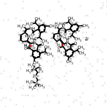 CC(NC(=O)c1c(C(C)C)cc(C)cc1C(C)C)=C1C=CCC(=C(C)NC(=O)c2c(C(C)C)cc(C)cc2C(C)C)N1.CC(NC(=O)c1c(C(C)C)cc(C)cc1C(C)C)=C1C=CCC(=C(C)NC(=O)c2c(C(C)C)cc(C)cc2C(C)C)N1.C[Si](C)(C)[CH2][Zr][CH2][Si](C)(C)C.[Zr]